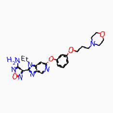 CCn1c(-c2nonc2N)nc2cnc(Oc3cccc(OCCCN4CCOCC4)c3)cc21